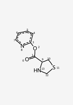 O=C(Oc1ccccn1)C1CSCN1